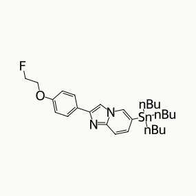 CCC[CH2][Sn]([CH2]CCC)([CH2]CCC)[c]1ccc2nc(-c3ccc(OCCF)cc3)cn2c1